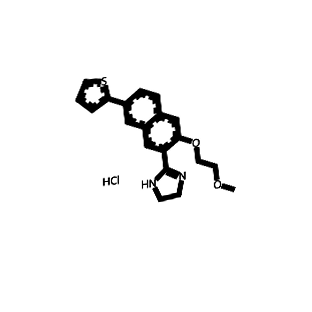 COCCOc1cc2ccc(-c3cccs3)cc2cc1C1=NCCN1.Cl